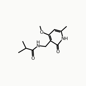 COc1cc(C)[nH]c(=O)c1CNC(=O)C(C)C